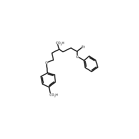 CCC(CCC(CCOc1ccc(C(=O)O)cc1)C(=O)O)Oc1ccccc1